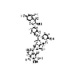 COc1cc([C@H]2Oc3cc([C@H]4Oc5cc(O)cc(O)c5C(=O)[C@@H]4O)ccc3O[C@@H]2CO[C@@H]2O[C@H](CO)[C@@H](O[C@H]3O[C@H](CO)[C@@H](O)[C@H](O)[C@H]3O)[C@H](O)[C@H]2O)ccc1O